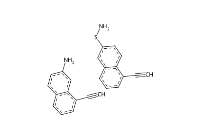 C#Cc1cccc2cc(SN)ccc12.C#Cc1cccc2ccc(N)cc12